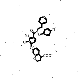 O=C([O-])C1CCOc2cc(Oc3ccc(C(=O)N(CCc4ccccc4)Oc4ccc(Cl)cc4)cc3Cl)ccc21.[Na+]